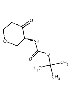 CC(C)(C)OC(=O)N[C@H]1COCCC1=O